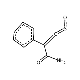 NC(=O)C(=C=S=O)c1ccccc1